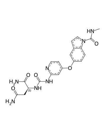 CNC(=O)n1ccc2cc(Oc3ccnc(NC(=O)N[C@@H](CC(N)=O)C(N)=O)c3)ccc21